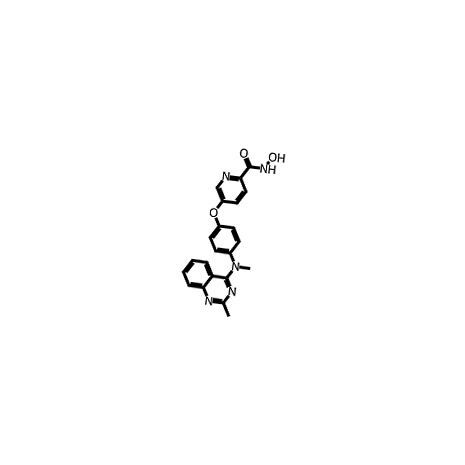 Cc1nc(N(C)c2ccc(Oc3ccc(C(=O)NO)nc3)cc2)c2ccccc2n1